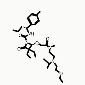 CCC[C@@H](NC(=O)N1C(=O)C(CC)(CC)[C@@H]1OCC(=O)N(C)CCN(CCOCC)C(C)C)c1ccc(C)cc1